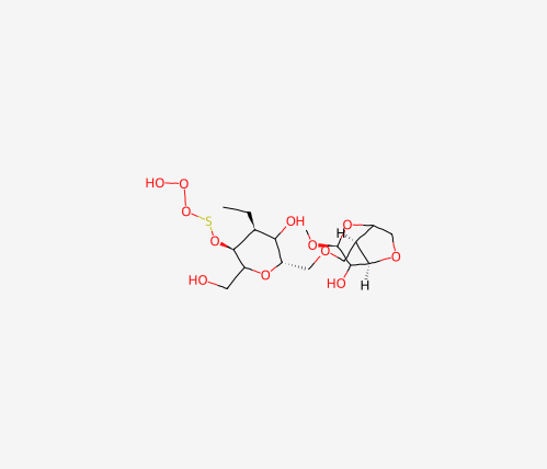 CC[C@H]1C(O)[C@H](COC[C@H]2C3CO[C@H]2C(O)[C@@H](OC)O3)OC(CO)[C@H]1OSOOO